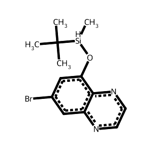 C[SiH](Oc1cc(Br)cc2nccnc12)C(C)(C)C